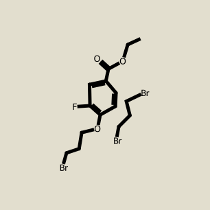 BrCCCBr.CCOC(=O)c1ccc(OCCCBr)c(F)c1